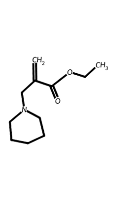 C=C(CN1CCCCC1)C(=O)OCC